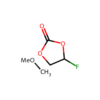 COC.O=C1OCC(F)O1